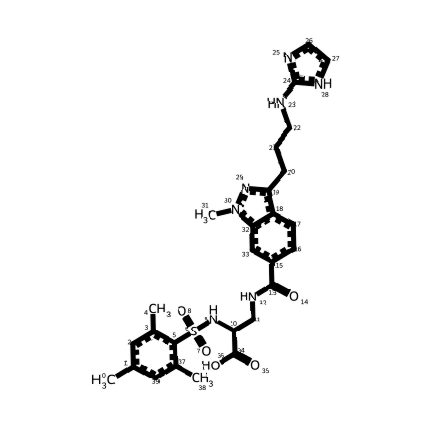 Cc1cc(C)c(S(=O)(=O)NC(CNC(=O)c2ccc3c(CCCNc4ncc[nH]4)nn(C)c3c2)C(=O)O)c(C)c1